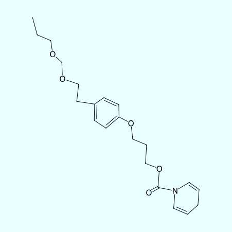 CCCOCOCCc1ccc(OCCCOC(=O)N2C=CCC=C2)cc1